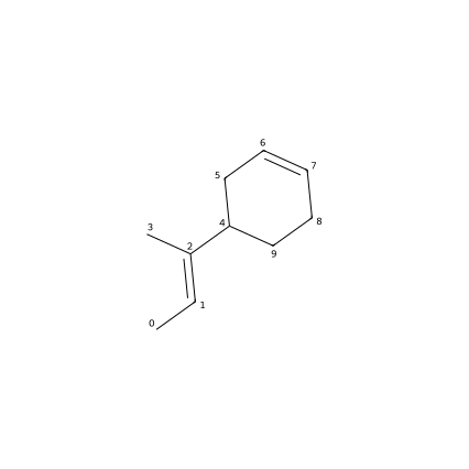 CC=C(C)C1CC=CCC1